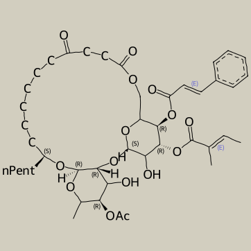 C/C=C(\C)C(=O)O[C@@H]1C(O)[C@H]2OC(COC(=O)CCC(=O)CCCCCC[C@H](CCCCC)O[C@@H]3OC(C)[C@H](OC(C)=O)C(O)[C@H]3O2)[C@H]1OC(=O)/C=C/c1ccccc1